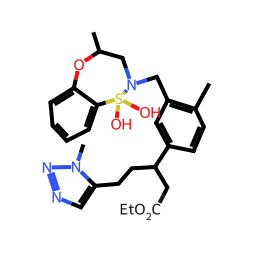 CCOC(=O)CC(CCc1cnnn1C)c1ccc(C)c(CN2CC(C)Oc3ccccc3S2(O)O)c1